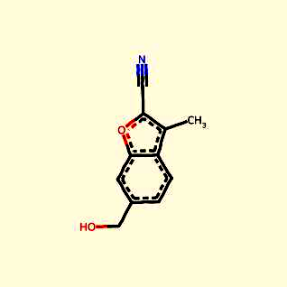 Cc1c(C#N)oc2cc(CO)ccc12